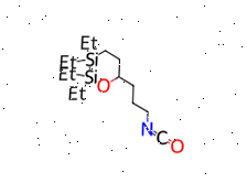 CC[Si]1(CC)CCC(CCCN=C=O)O[Si]1(CC)CC